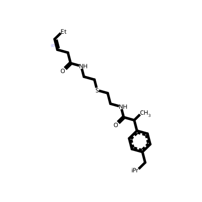 CC/C=C\CC(=O)NCCSCCNC(=O)C(C)c1ccc(CC(C)C)cc1